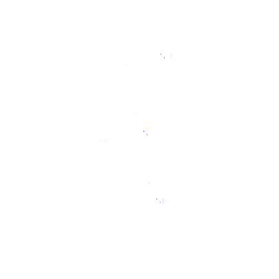 Cl.Nc1ccc(S(=O)(=O)NCCOS(=O)(=O)NC2CCCCC2)cc1Cl